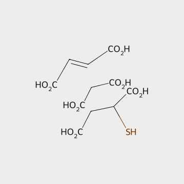 O=C(O)C=CC(=O)O.O=C(O)CC(=O)O.O=C(O)CC(S)C(=O)O